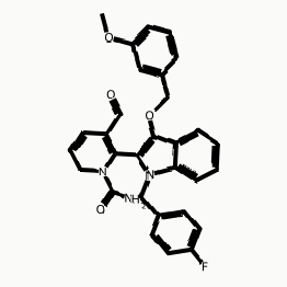 COc1cccc(COc2c(C3=C(C=O)C=CCN3C(N)=O)n(Cc3ccc(F)cc3)c3ccccc23)c1